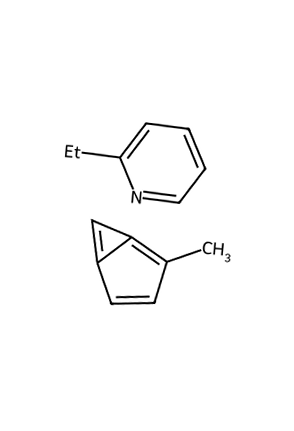 CCc1ccccn1.Cc1ccc2cc1-2